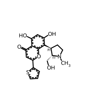 CN1CC[C@H](c2c(O)cc(O)c3c(=O)cc(-c4cccs4)oc23)[C@H]1CO